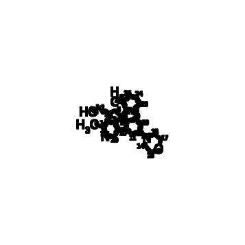 Cc1cc(C(CC=NO)(c2ccc(N3CCOCC3)cc2)c2ccccc2C)ccn1